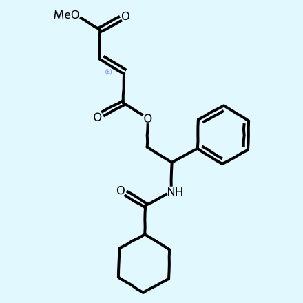 COC(=O)/C=C/C(=O)OCC(NC(=O)C1CCCCC1)c1ccccc1